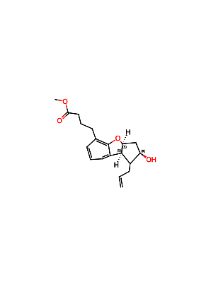 C=CCC1[C@H](O)C[C@@H]2Oc3c(CCCC(=O)OC)cccc3[C@H]12